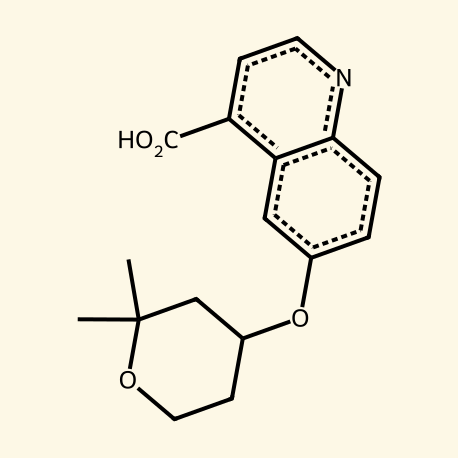 CC1(C)CC(Oc2ccc3nccc(C(=O)O)c3c2)CCO1